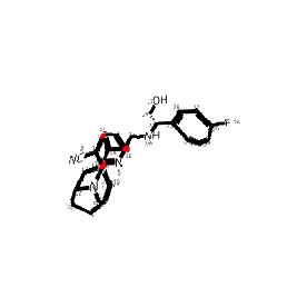 N#Cc1cccnc1N1C2CCC1CN(C(=O)CCN[C@H](CO)c1ccc(F)cc1)C2